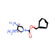 N[C@@H]1CN(C(=O)OCc2ccccc2)C[C@@H]1N